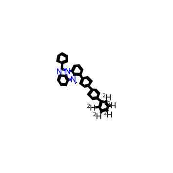 [2H]c1c([2H])c([2H])c(-c2ccc(-c3ccc(-c4cccc5c4N(C)c4cccc6nc(-c7ccccc7)n-5c46)cc3)cc2)c([2H])c1[2H]